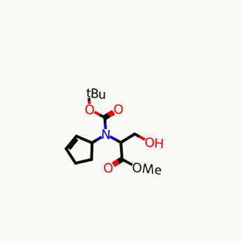 COC(=O)C(CO)N(C(=O)OC(C)(C)C)C1C=CCC1